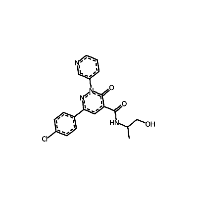 CC(CO)NC(=O)c1cc(-c2ccc(Cl)cc2)nn(-c2cccnc2)c1=O